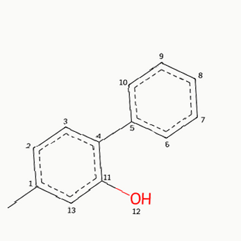 [CH2]c1ccc(-c2ccccc2)c(O)c1